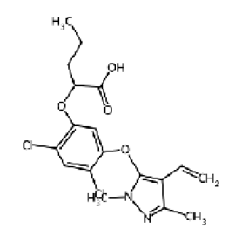 C=Cc1c(C)nn(C)c1Oc1cc(OC(CCC)C(=O)O)c(Cl)cc1Cl